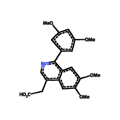 COc1cc(OC)cc(-c2ncc(CC(=O)O)c3cc(OC)c(OC)cc23)c1